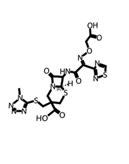 Cn1nnnc1SCC1(C(=O)O)CS[C@@H]2C(NC(=O)C(=NOCC(=O)O)c3ncsn3)C(=O)N2C1